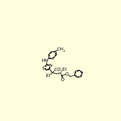 CCOC(=O)C(CC)(CCC(=O)OCc1ccccc1)c1csc(Nc2ccc(C)cc2)n1